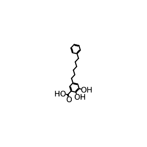 O=C(O)c1cc(CCCCCCc2ccccc2)cc(O)c1O